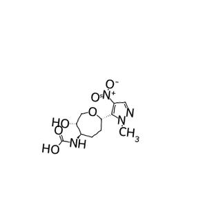 Cn1ncc([N+](=O)[O-])c1[C@@H]1CC[C@@H](NC(=O)O)[C@H](O)CO1